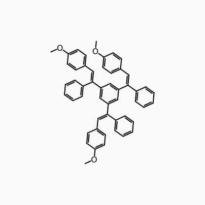 COc1ccc(C=C(c2ccccc2)c2cc(C(=Cc3ccc(OC)cc3)c3ccccc3)cc(C(=Cc3ccc(OC)cc3)c3ccccc3)c2)cc1